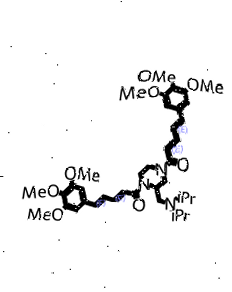 COc1cc(/C=C/C=C/C(=O)N2CCN(C(=O)/C=C/C=C/c3cc(OC)c(OC)c(OC)c3)C(CN(C(C)C)C(C)C)C2)cc(OC)c1OC